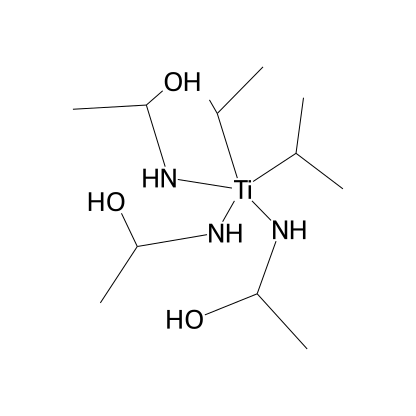 CC(O)[NH][Ti]([NH]C(C)O)([NH]C(C)O)([CH](C)C)[CH](C)C